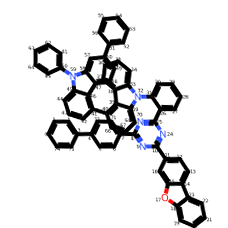 c1ccc(-c2ccc(-c3nc(-c4ccc5c(c4)oc4ccccc45)nc(-c4ccccc4-n4c5ccccc5c5c(-c6cccc7c6c6ccc(-c8ccccc8)cc6n7-c6ccccc6)cccc54)n3)cc2)cc1